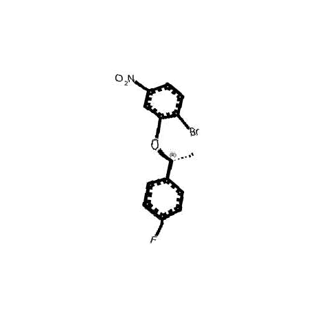 C[C@@H](Oc1cc([N+](=O)[O-])ccc1Br)c1ccc(F)cc1